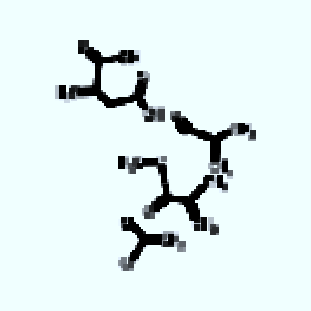 C=C(C)C#N.C=C(C)C(=O)OC.C=C(CC(=O)O)C(=O)O.C=C(Cl)Cl